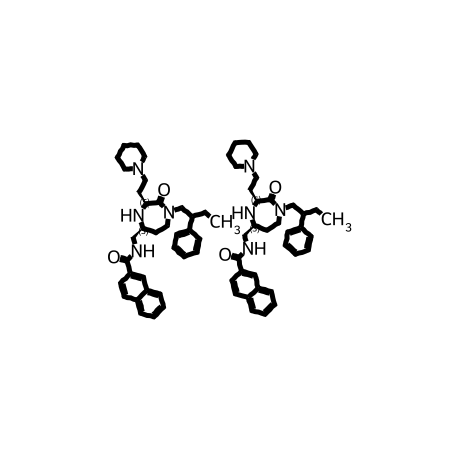 CCC(CN1CC[C@@H](CNC(=O)c2ccc3ccccc3c2)N[C@@H](CCN2CCCCC2)C1=O)c1ccccc1.CCC(CN1CC[C@@H](CNC(=O)c2ccc3ccccc3c2)N[C@@H](CCN2CCCCC2)C1=O)c1ccccc1